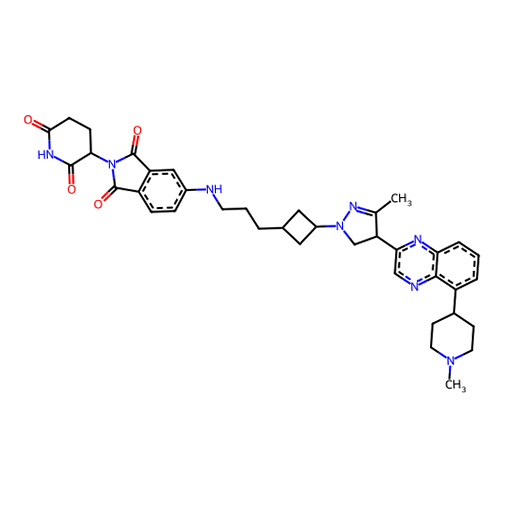 CC1=NN(C2CC(CCCNc3ccc4c(c3)C(=O)N(C3CCC(=O)NC3=O)C4=O)C2)CC1c1cnc2c(C3CCN(C)CC3)cccc2n1